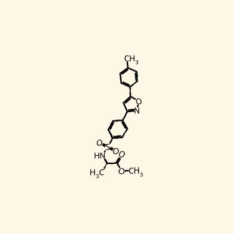 COC(=O)[C@@H](C)NS(=O)(=O)c1ccc(-c2cc(-c3ccc(C)cc3)on2)cc1